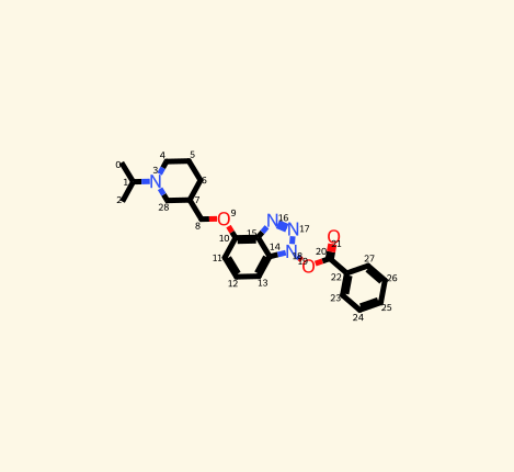 CC(C)N1CCCC(COc2cccc3c2nnn3OC(=O)c2ccccc2)C1